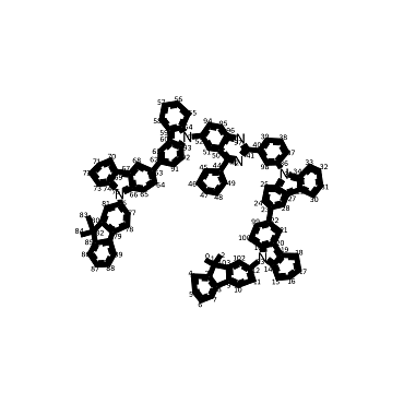 CC1(C)c2ccccc2-c2ccc(-n3c4ccccc4c4cc(-c5ccc6c(c5)c5ccccc5n6-c5cccc(-c6nc(-c7ccccc7)c7cc(-n8c9ccccc9c9cc(-c%10ccc%11c(c%10)c%10ccccc%10n%11-c%10ccc%11c(c%10)C(C)(C)c%10ccccc%10-%11)ccc98)ccc7n6)c5)ccc43)cc21